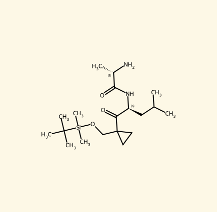 CC(C)C[C@H](NC(=O)[C@H](C)N)C(=O)C1(CO[Si](C)(C)C(C)(C)C)CC1